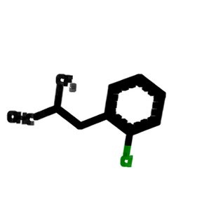 O=CC(Cc1ccccc1Cl)C(F)(F)F